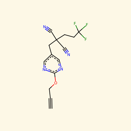 C#CCOc1ncc(CC(C#N)(C#N)CCC(F)(F)F)cn1